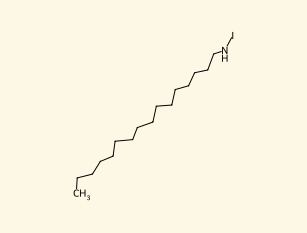 CCCCCCCCCCCCCCCCNI